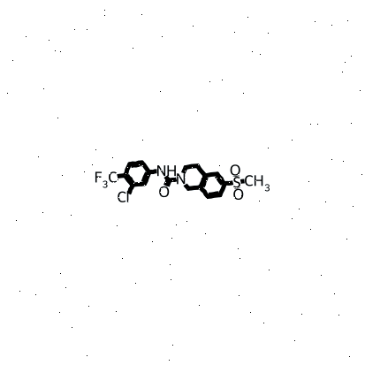 CS(=O)(=O)c1ccc2c(c1)CCN(C(=O)Nc1ccc(C(F)(F)F)c(Cl)c1)C2